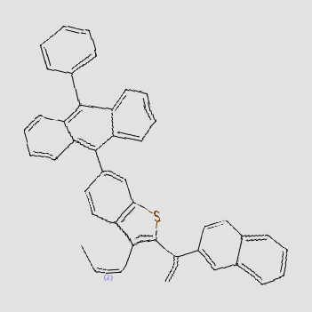 C=C(c1ccc2ccccc2c1)c1sc2cc(-c3c4ccccc4c(-c4ccccc4)c4ccccc34)ccc2c1/C=C\C